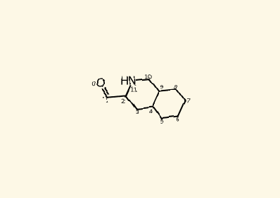 O=[C]C1CC2CCCCC2CN1